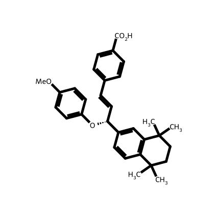 COc1ccc(O[C@H](C=Cc2ccc(C(=O)O)cc2)c2ccc3c(c2)C(C)(C)CCC3(C)C)cc1